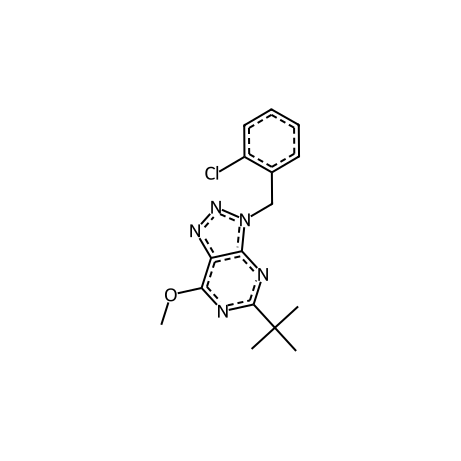 COc1nc(C(C)(C)C)nc2c1nnn2Cc1ccccc1Cl